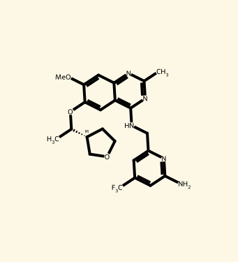 COc1cc2nc(C)nc(NCc3cc(C(F)(F)F)cc(N)n3)c2cc1OC(C)[C@@H]1CCOC1